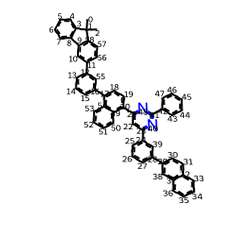 CC1(C)c2ccccc2-c2cc(-c3cccc(-c4ccc(-c5cc(-c6cccc(-c7ccc8ccccc8c7)c6)nc(-c6ccccc6)n5)c5ccccc45)c3)ccc21